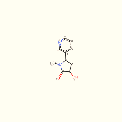 CN1C(=O)C(O)CC1c1cccnc1